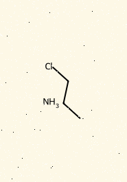 N.[CH2]CCCl